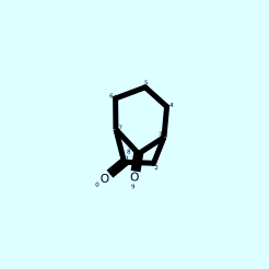 O=C1CC2C[CH]CC1C2=O